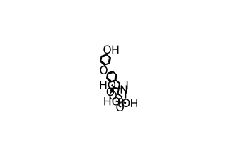 O=C(O)C(Cc1ccc(Oc2ccc(O)cc2)cc1)(C(=O)CP(=O)(O)O)N(I)I